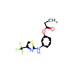 CCC(=O)Oc1cccc(Nc2nc(C(F)(F)F)cs2)c1